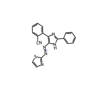 N#Cc1ccccc1-c1nc(-c2ccccc2)[nH]c1/N=N/c1nccs1